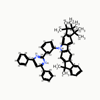 CC1(C)c2ccccc2-c2cc3c4cc5c(cc4n(-c4cccc(-c6nc(-c7ccccc7)cc(-c7ccccc7)n6)c4)c3cc21)C(C)(C)C(C)(C)C5(C)C